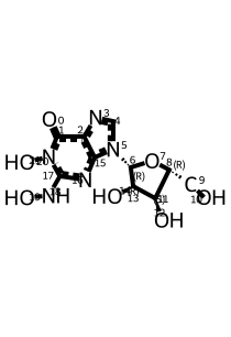 O=c1c2ncn([C@@H]3O[C@H](CO)[C@@H](O)[C@H]3O)c2nc(NO)n1O